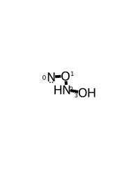 [N]ONO